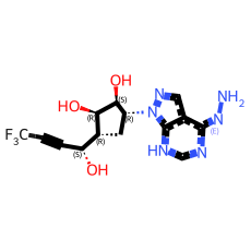 N/N=c1/nc[nH]c2c1cnn2[C@@H]1C[C@H]([C@H](O)C#CC(F)(F)F)[C@@H](O)[C@H]1O